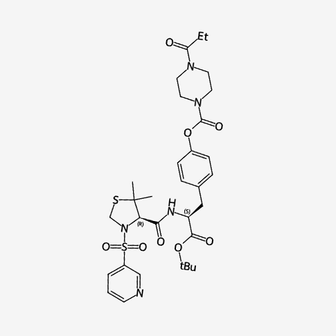 CCC(=O)N1CCN(C(=O)Oc2ccc(C[C@H](NC(=O)[C@H]3N(S(=O)(=O)c4cccnc4)CSC3(C)C)C(=O)OC(C)(C)C)cc2)CC1